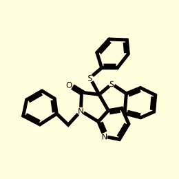 O=C1N(Cc2ccccc2)c2ncccc2C1(Sc1ccccc1)Sc1ccccc1